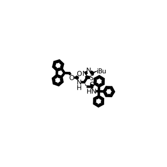 CC[C@H](C)c1nnc([C@H](CC(=O)NC(c2ccccc2)(c2ccccc2)c2ccccc2)NC(=O)OCC2c3ccccc3-c3ccccc32)s1